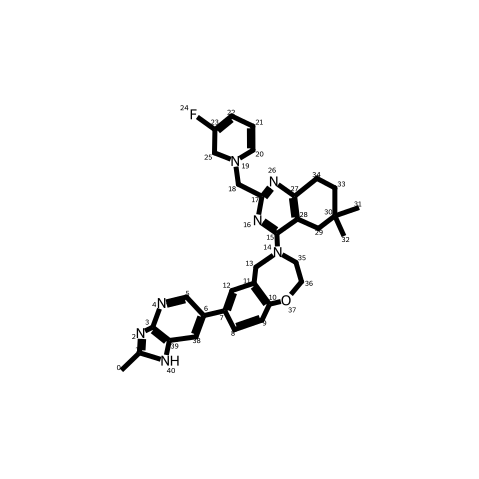 Cc1nc2ncc(-c3ccc4c(c3)CN(c3nc(CN5C=CC=C(F)C5)nc5c3CC(C)(C)CC5)CCO4)cc2[nH]1